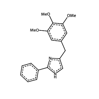 COc1cc(Cc2c[nH]c(-c3ccccc3)n2)cc(OC)c1OC